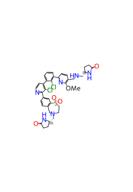 COc1nc(-c2cccc(-c3ccnc(-c4ccc5c(c4)S(=O)(=O)CCN(C[C@@H]4CCC(=O)N4)C5)c3Cl)c2Cl)ccc1CNC[C@@H]1CCC(=O)N1